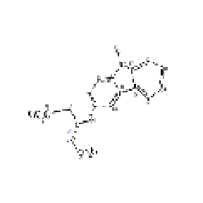 CCOC(=O)/C=C(/CC(=O)OCC)Nc1ccc2c(c1)c1ccccc1n2CC